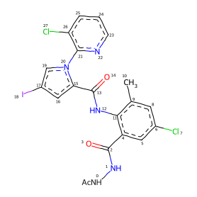 CC(=O)NNC(=O)c1cc(Cl)cc(C)c1NC(=O)c1cc(I)cn1-c1ncccc1Cl